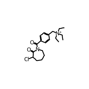 CC[N+](CC)(CC)Cc1ccc(C(=O)N2CCCCC(Cl)C2=O)cc1